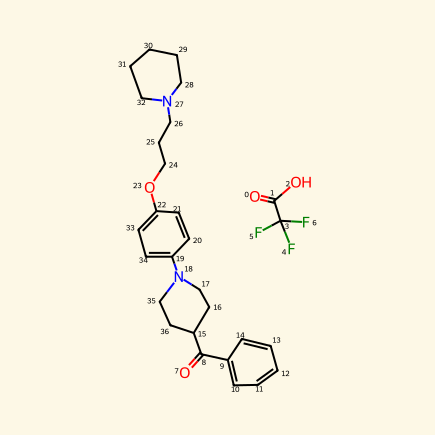 O=C(O)C(F)(F)F.O=C(c1ccccc1)C1CCN(c2ccc(OCCCN3CCCCC3)cc2)CC1